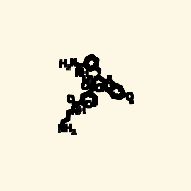 COc1ccc2nc([C@@H](Cc3cccc(C(=N)N)c3)NS(=O)(=O)c3cccc(C(=O)NCCCN)c3)sc2c1